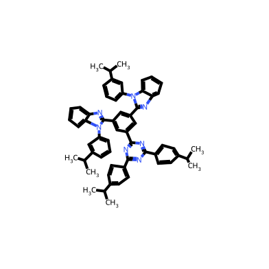 CC(C)c1ccc(-c2nc(-c3ccc(C(C)C)cc3)nc(-c3cc(-c4nc5ccccc5n4-c4cccc(C(C)C)c4)cc(-c4nc5ccccc5n4-c4cccc(C(C)C)c4)c3)n2)cc1